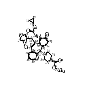 Cn1cncc1[C@H](NC(=O)OC1CC1)C1=Cc2cccnc2[C@@H](N2CCN(C(=O)OC(C)(C)C)CC2)c2ccc(Cl)cc21